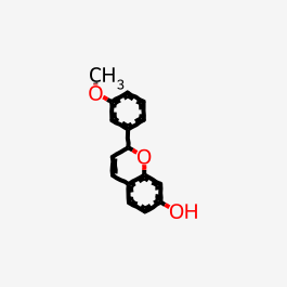 COc1cccc(C2C=Cc3ccc(O)cc3O2)c1